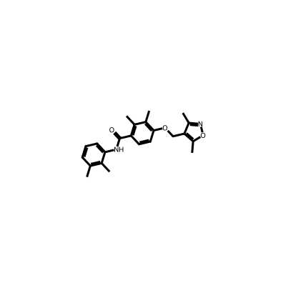 Cc1cccc(NC(=O)c2ccc(OCc3c(C)noc3C)c(C)c2C)c1C